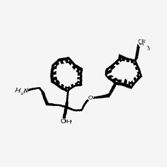 NCCC(O)(COCc1ccc(C(F)(F)F)cc1)c1ccccc1